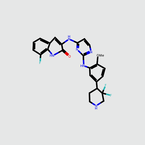 COc1ccc(C2CCNCC2(F)F)cc1Nc1nccc(Nc2cc3cccc(F)c3[nH]c2=O)n1